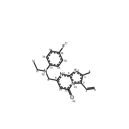 C=Cc1c(C)sc2nc(CN(CC)c3ccc(F)cc3)cc(=O)n12